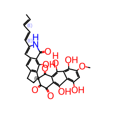 C/C=C/C=C/c1cc2cc3c(c(O)c2c(=O)[nH]1)[C@@]1(CC3)C(=O)C(=O)c2c(c(O)c3c(O)c(OC)cc(O)c3c2O)C1=O